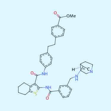 COC(=O)c1ccc(CCc2ccc(NC(=O)c3c(NC(=O)c4cccc(CN[C@@H]5CN6CCC5CC6)c4)sc4c3CCCC4)cc2)cc1